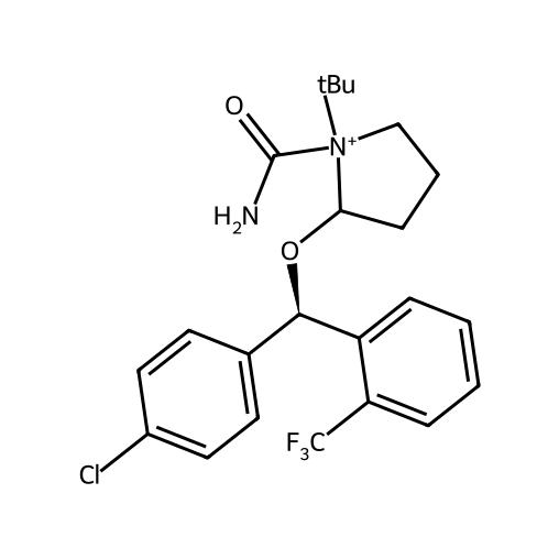 CC(C)(C)[N+]1(C(N)=O)CCCC1O[C@H](c1ccc(Cl)cc1)c1ccccc1C(F)(F)F